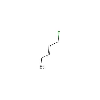 [CH2]CCC=CCF